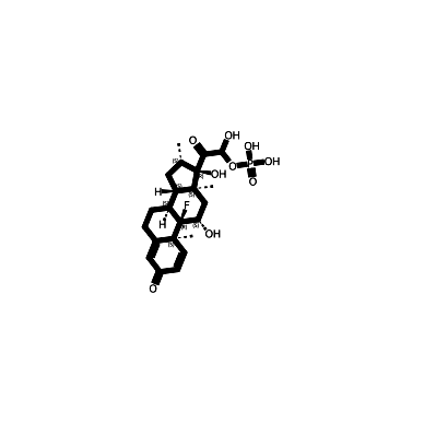 C[C@H]1C[C@H]2[C@@H]3CCC4=CC(=O)C=C[C@]4(C)[C@@]3(F)[C@@H](O)C[C@]2(C)[C@@]1(O)C(=O)C(O)OP(=O)(O)O